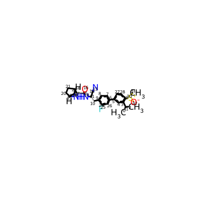 CC(C)c1cc(-c2ccc(C[C@@H](C#N)NC(=O)[C@H]3N[C@@H]4CC[C@H]3C4)c(F)c2)ccc1[S+](C)[O-]